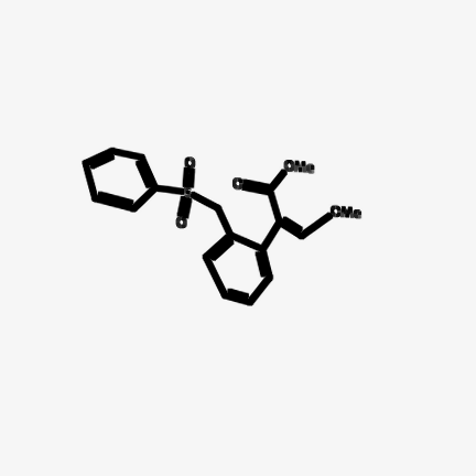 COC=C(C(=O)OC)c1ccccc1CS(=O)(=O)c1ccccc1